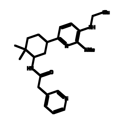 CNc1nc(C2CCC(C)(C)C(NC(=O)Cc3cccnc3)C2)ccc1NCC(C)(C)C